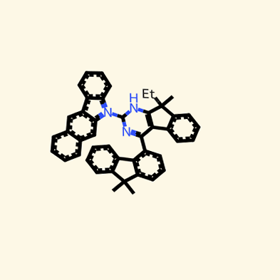 CCC1(C)C2=C(C(c3cccc4c3-c3ccccc3C4(C)C)=NC(n3c4ccccc4c4cc5ccccc5cc43)N2)c2ccccc21